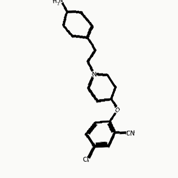 N#Cc1cc(Cl)ccc1OC1CCN(CCC2CCC(N)CC2)CC1